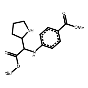 COC(=O)c1ccc(NC(C(=O)OC(C)(C)C)C2CCCN2)cc1